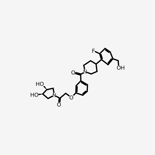 O=C(COc1cccc(C(=O)N2CCC(c3cc(CO)ccc3F)CC2)c1)N1C[C@@H](O)[C@@H](O)C1